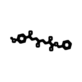 COc1ccc(C(=O)CCC(=O)CCC(=O)C(=O)OCc2ccccc2)cc1